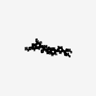 Cc1cn2cc(NC(=O)c3nc4ccc(N5CC[C@@H](N(C)C)C5)nc4s3)cc(F)c2n1